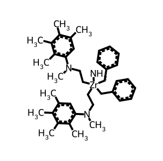 Cc1cc(N(C)C[CH2][Zr]([NH2])([CH2]CN(C)c2cc(C)c(C)c(C)c2C)([CH2]c2ccccc2)[CH2]c2ccccc2)c(C)c(C)c1C